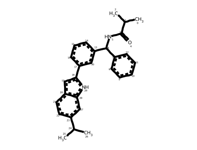 CC(C)C(=O)NC(c1ccccc1)c1cccc(-c2cc3ccc(C(C)C)cc3[nH]2)c1